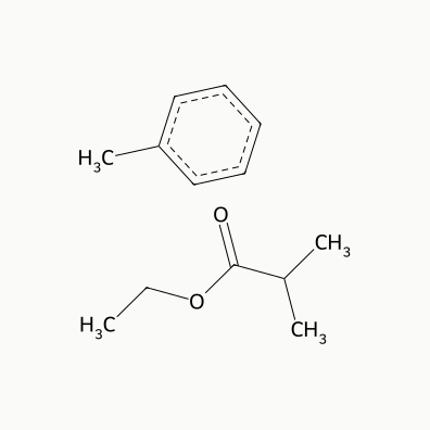 CCOC(=O)C(C)C.Cc1ccccc1